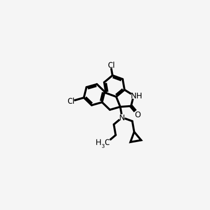 CCCN(CC1CC1)C1(Cc2cccc(Cl)c2)C(=O)Nc2cc(Cl)ccc21